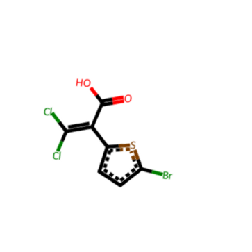 O=C(O)C(=C(Cl)Cl)c1ccc(Br)s1